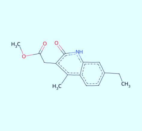 CCc1ccc2c(C)c(CC(=O)OC)c(=O)[nH]c2c1